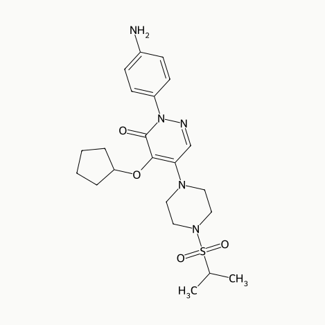 CC(C)S(=O)(=O)N1CCN(c2cnn(-c3ccc(N)cc3)c(=O)c2OC2CCCC2)CC1